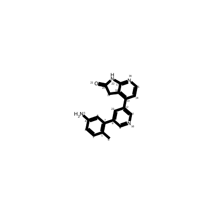 Cc1ccc(N)cc1-c1cncc(-c2ccnc3c2CC(=O)N3)c1